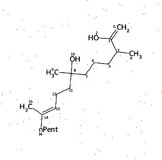 C=C(O)C(C)CCCC(C)(O)CC/C=C(\C)CCCCC